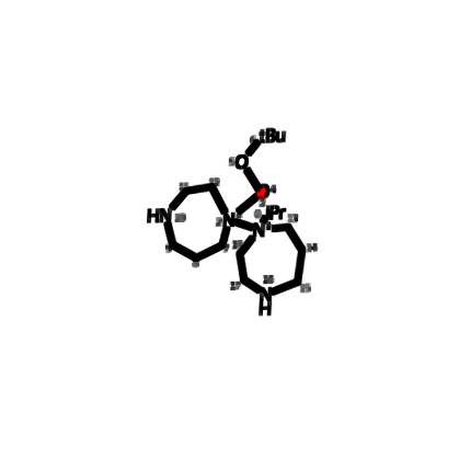 CC(C)[N+]1([N+]2(C(=O)OC(C)(C)C)CCCNCC2)CCCNCC1